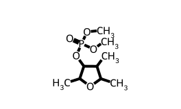 COP(=O)(OC)OC1C(C)OC(C)C1C